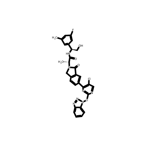 Cc1cc(F)cc([C@@H](CO)NC(=O)[C@@H](C)N2Cc3ccc(-c4nc(On5nnc6ccccc65)ncc4Cl)cc3C2=O)c1